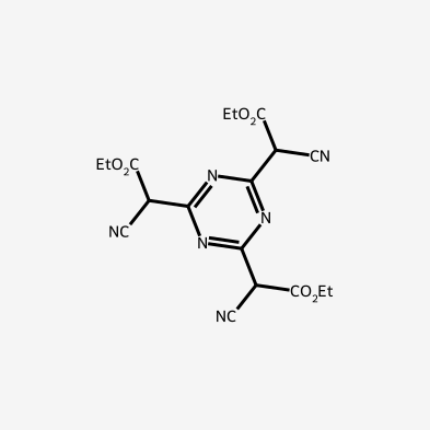 CCOC(=O)C(C#N)c1nc(C(C#N)C(=O)OCC)nc(C(C#N)C(=O)OCC)n1